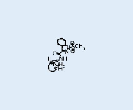 CN1[C@@H]2CCC[C@H]1C[C@@H](NC(=O)c1nn(S(C)(=O)=O)c3ccccc13)C2